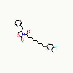 Cc1cc(CCCCCCCC(=O)N2C(=O)OCC2Cc2ccccc2)ccc1F